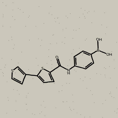 O=C(Nc1ccc(B(O)O)cc1)c1ccc(-c2ccsc2)s1